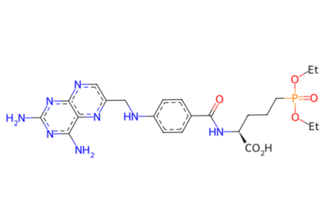 CCOP(=O)(CCC[C@H](NC(=O)c1ccc(NCc2cnc3nc(N)nc(N)c3n2)cc1)C(=O)O)OCC